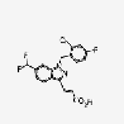 O=C(O)C=Cc1nn(Cc2ccc(F)cc2Cl)c2cc(C(F)F)ccc12